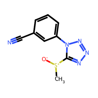 C[S+]([O-])c1nnnn1-c1cccc(C#N)c1